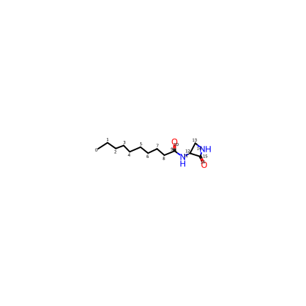 CCCCCCCCCC(=O)N[C@H]1CNC1=O